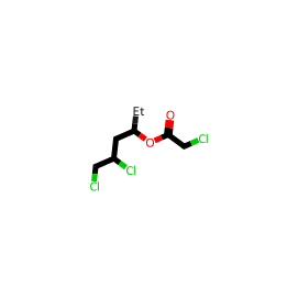 CCC(CC(Cl)CCl)OC(=O)CCl